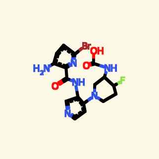 Nc1ccc(Br)nc1C(=O)Nc1cnccc1N1CCC(F)C(NC(=O)O)C1